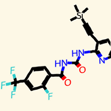 C[Si](C)(C)C#Cc1cccnc1NC(=O)NC(=O)c1ccc(C(F)(F)F)cc1F